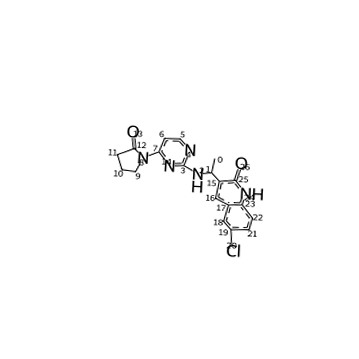 CC(Nc1nccc(N2CCCC2=O)n1)c1cc2cc(Cl)ccc2[nH]c1=O